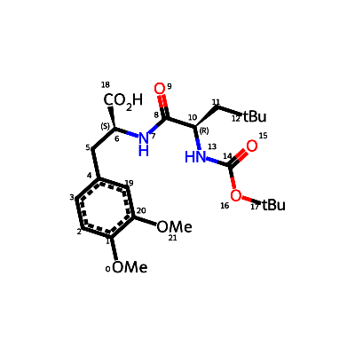 COc1ccc(C[C@H](NC(=O)[C@@H](CC(C)(C)C)NC(=O)OC(C)(C)C)C(=O)O)cc1OC